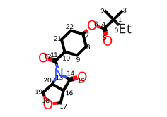 CCC(C)(C)C(=O)OC1CCC(C(=O)N2C(=O)C3COCC32)CC1